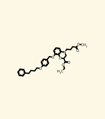 CCOC(=O)C1CN(CCCC(=O)OC)c2cccc(OCc3ccc(OCCCCc4ccccc4)cc3)c2O1